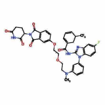 CN(CCOCCOc1ccc2c(c1)C(=O)N(C1CCC(=O)NC1=O)C2=O)c1cccc(-n2c(NC(=O)C3=CC=CC(C(F)(F)F)C3)nc3cc(F)ccc32)c1